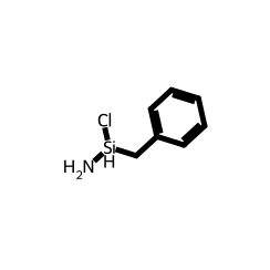 N[SiH](Cl)Cc1ccccc1